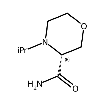 CC(C)N1CCOC[C@@H]1C(N)=O